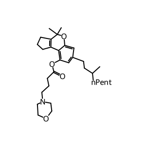 CCCCCC(C)CCc1cc(OC(=O)CCCN2CCOCC2)c2c(c1)OC(C)(C)C1=C2CCC1